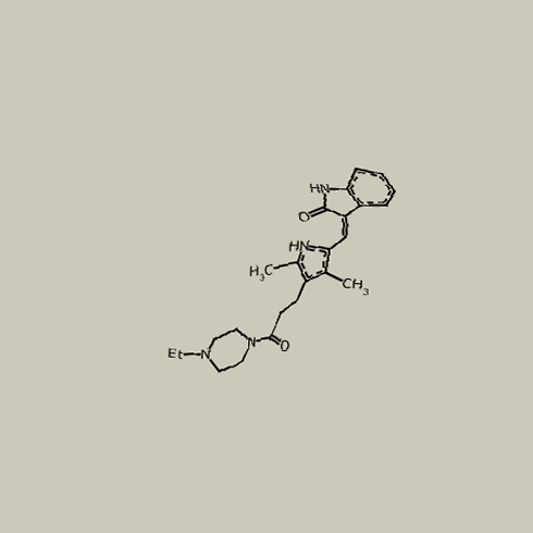 CCN1CCN(C(=O)CCc2c(C)[nH]c(C=C3C(=O)Nc4ccccc43)c2C)CC1